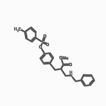 COC(=O)C(CNCc1ccccc1)Cc1ccc(OS(=O)(=O)c2ccc(C)cc2)cc1